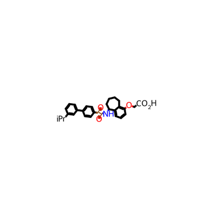 CC(C)c1cccc(-c2ccc(S(=O)(=O)NC3CCCCc4c(OCC(=O)O)cccc43)cc2)c1